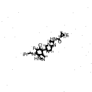 CC(C)CNc1c(F)c(Cl)c(-c2cn3cc(NC(=O)[C@@H]4C[C@@H]4F)nc3cn2)c2cn[nH]c12